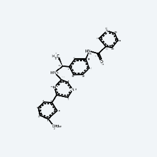 COc1cccc(-c2cncc(N[C@@H](C)c3cccc(NC(=O)c4cccnc4)c3)n2)c1